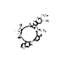 COC(=O)[C@H](C)Cc1csc(C2(C)CCCC(C)(C)CS(=O)(=O)CCc3c(c(F)cc4[nH]ccc34)Oc3ccc(F)c(c3)-c3nc2nn3C)c1